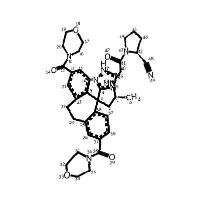 C[C@@H](CC1(c2nn[nH]n2)c2ccc(C(=O)N3CCOCC3)cc2CCc2cc(C(=O)N3CCOCC3)ccc21)NCC(=O)N1CCC[C@H]1C#N